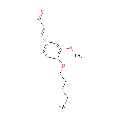 CCCCCOc1ccc(/C=C/[C]=O)cc1OC